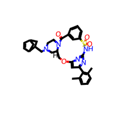 Cc1cccc(C)c1-c1cc2nc(n1)NS(=O)(=O)c1cccc(c1)C(=O)N1CCN(CC3CC4C=CC3C4)C[C@@H]1CO2